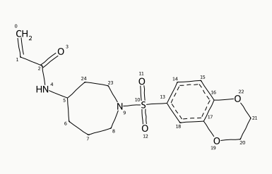 C=CC(=O)NC1CCCN(S(=O)(=O)c2ccc3c(c2)OCCO3)CC1